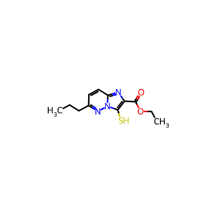 CCCc1ccc2nc(C(=O)OCC)c(S)n2n1